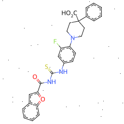 O=C(NC(=S)Nc1ccc(N2CCC(C(=O)O)(c3ccccc3)CC2)c(F)c1)c1cc2ccccc2o1